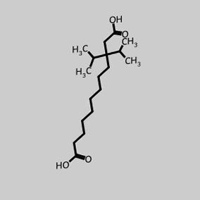 CC(C)C(CCCCCCCCC(=O)O)(CC(=O)O)C(C)C